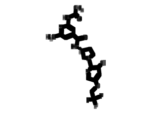 CC(=O)Nc1cc(C(=O)N[C@@H]2CCN(c3ncc(OCC(F)(F)F)cc3Cl)C2)cc(C)n1